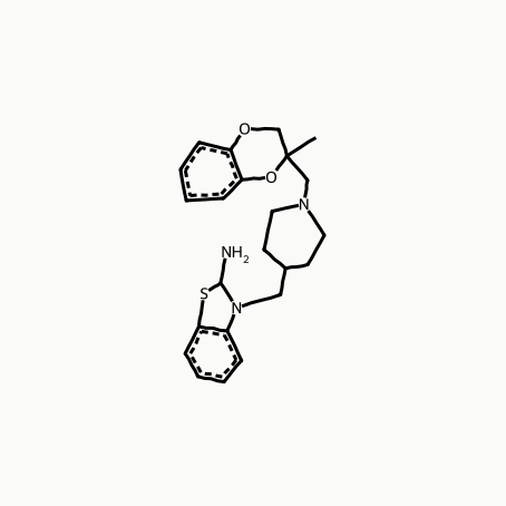 CC1(CN2CCC(CN3c4ccccc4SC3N)CC2)COc2ccccc2O1